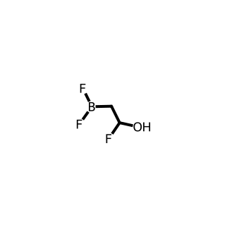 OC(F)CB(F)F